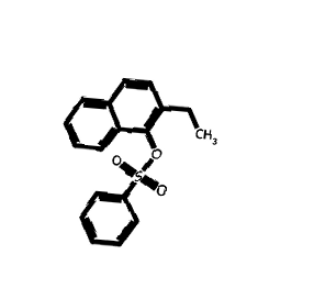 CCc1ccc2ccccc2c1OS(=O)(=O)c1ccccc1